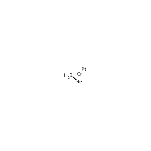 [BH2][Re].[Cr].[Pt]